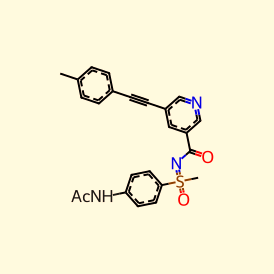 CC(=O)Nc1ccc(S(C)(=O)=NC(=O)c2cncc(C#Cc3ccc(C)cc3)c2)cc1